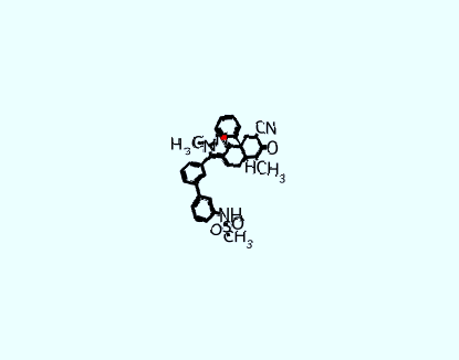 C[C@@H]1C(=O)C(C#N)C[C@@]2(c3ccccc3)c3nn(C)c(-c4cccc(-c5cccc(NS(C)(=O)=O)c5)c4)c3CC[C@@H]12